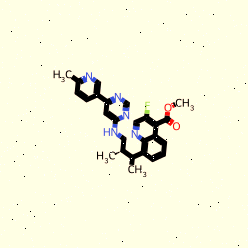 COC(=O)c1c(F)cnc2c(C(C)[C@H](C)CNc3cc(-c4ccc(C)nc4)ncn3)cccc12